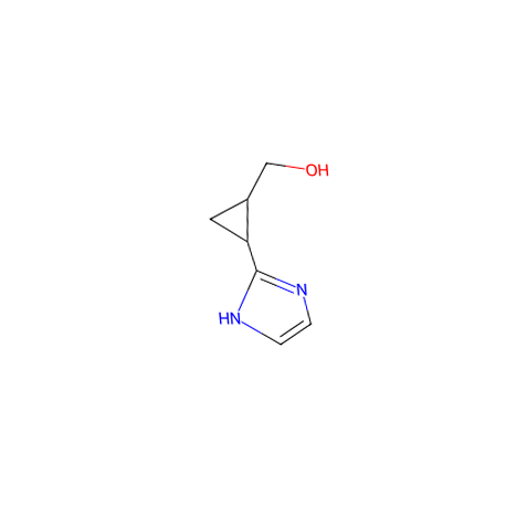 OCC1CC1c1ncc[nH]1